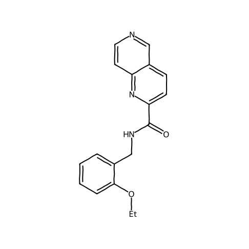 CCOc1ccccc1CNC(=O)c1ccc2cnccc2n1